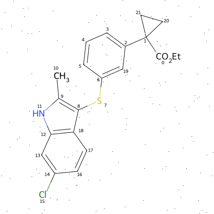 CCOC(=O)C1(c2cccc(Sc3c(C)[nH]c4cc(Cl)ccc34)c2)CC1